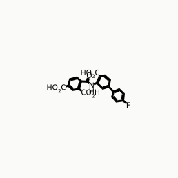 O=C(O)c1ccc(C(=O)Nc2cc(-c3ccc(F)cc3)ccc2C(=O)O)c(C(=O)O)c1